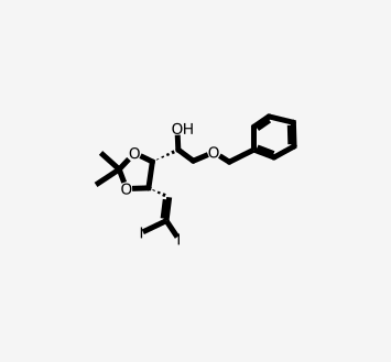 CC1(C)O[C@@H](C=C(I)I)[C@@H](C(O)COCc2ccccc2)O1